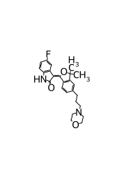 CC1(C)OC(=C2C(=O)Nc3ccc(F)cc32)c2ccc(CCCN3CCOCC3)cc21